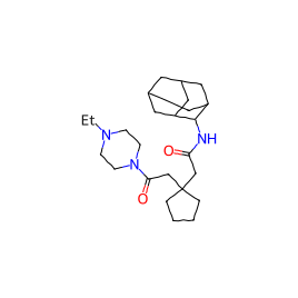 CCN1CCN(C(=O)CC2(CC(=O)NC3C4CC5CC(C4)CC3C5)CCCC2)CC1